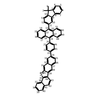 CC1(C)c2ccccc2-c2cc(-c3c4ccccc4c(-c4ccc(-c5ccc6cc7c(cc6c5)sc5c6ccccc6ccc75)cc4)c4ccccc34)ccc21